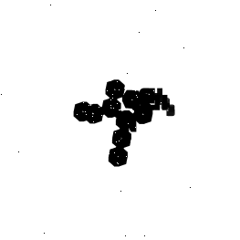 CC1(C)c2ccccc2-c2c(-c3cc(-c4cc(-c5ccccc5)cc(-c5ccc6ccccc6c5)c4)cc(-c4ccc(-c5ccccc5)cc4)n3)cccc21